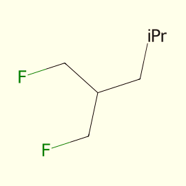 CC(C)CC(CF)CF